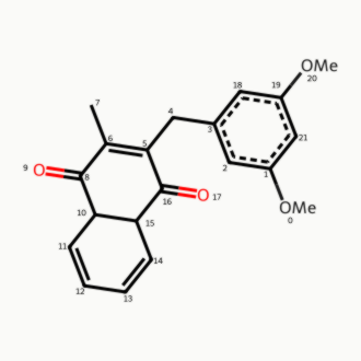 COc1cc(CC2=C(C)C(=O)C3C=CC=CC3C2=O)cc(OC)c1